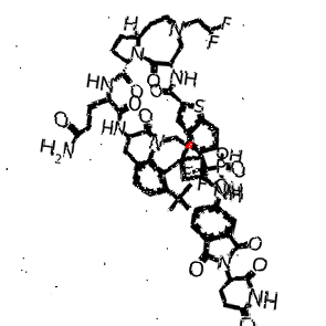 CC(C)(C)c1ccc(CC(NC(=O)C(CCC(N)=O)NC(=O)[C@@H]2CC[C@@H]3CCN(CC(F)F)C[C@H](NC(=O)c4cc5cc(C(F)(F)P(=O)(O)O)ccc5s4)C(=O)N32)C(=O)N2CCC3(CC2)CC(Nc2ccc4c(c2)C(=O)N(C2CCC(=O)NC2=O)C4=O)C3)cc1